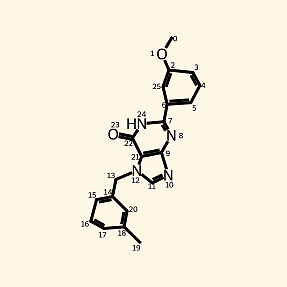 COc1cccc(-c2nc3ncn(Cc4cccc(C)c4)c3c(=O)[nH]2)c1